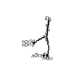 [CH2]COCCOCCOCCOCC(COCCCCCCCC(=O)OC(CCCCCCCC)CCCCCCCC)OCCCCCCCC(=O)OC(CCCCCCCC)CCCCCCCC